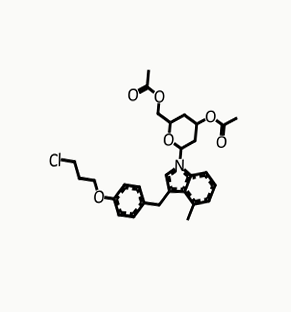 CC(=O)OCC1CC(OC(C)=O)CC(n2cc(Cc3ccc(OCCCCl)cc3)c3c(C)cccc32)O1